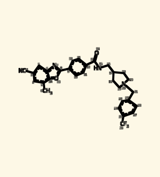 Cc1cc(C#N)cc2nc(-c3ccc(C(=O)NCC4CCN(Cc5ccc(C(F)(F)F)cc5)CC4)cc3)oc12